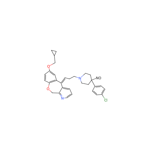 O=NC1(c2ccc(Cl)cc2)CCN(CCC=C2c3cc(OCC4CC4)ccc3OCc3ncccc32)CC1